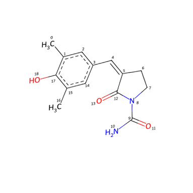 Cc1cc(/C=C2/CCN(C(N)=O)C2=O)cc(C)c1O